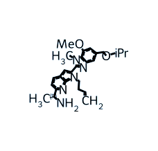 C=CCCn1c(-c2nc3cc(COC(C)C)cc(OC)c3n2C)cc2ccc([C@@H](C)N)nc21